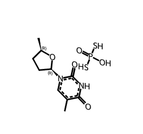 Cc1cn([C@H]2CC[C@@H](C)O2)c(=O)[nH]c1=O.O=P(O)(S)S